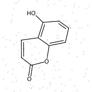 O=c1ccc2c(O)c[c]cc2o1